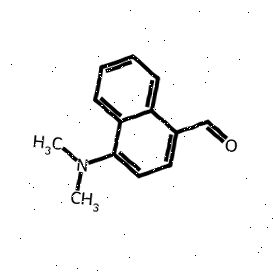 CN(C)c1ccc(C=O)c2ccccc12